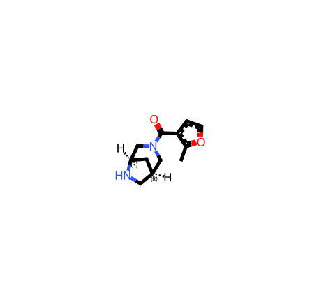 Cc1occc1C(=O)N1C[C@H]2CN[C@H](C2)C1